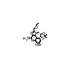 Br.CCOCc1nc2c(N)nc3ccccc3c2n1C[C@H]1COC(C)(C)O1